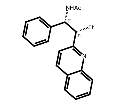 CC[C@H](c1ccc2ccccc2n1)[C@@H](NC(C)=O)c1ccccc1